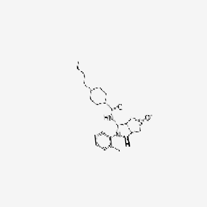 CCCCC1CCC(C(=O)NC2C3C[S+]([O-])CC3NN2c2ccccc2C)CC1